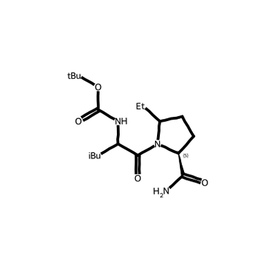 CCC(C)C(NC(=O)OC(C)(C)C)C(=O)N1C(CC)CC[C@H]1C(N)=O